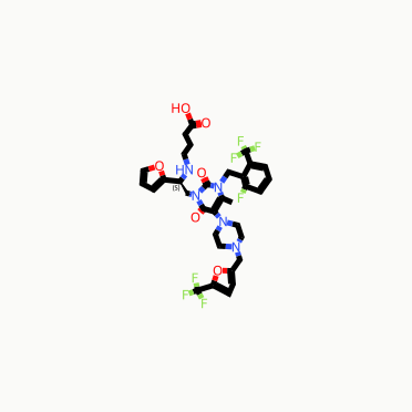 Cc1c(N2CCN(Cc3ccc(C(F)(F)F)o3)CC2)c(=O)n(C[C@H](NCCCC(=O)O)c2ccco2)c(=O)n1Cc1c(F)cccc1C(F)(F)F